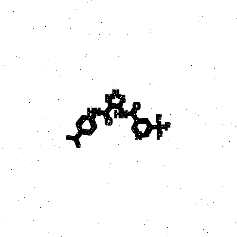 CC(C)c1ccc(NC(=O)c2nnsc2NC(=O)c2cncc(C(F)(F)F)c2)cc1